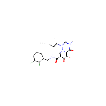 CC[C@@H](COC)N1CN(C)C(=O)c2c(O)c(=O)c(C(=O)NCC3CCCC(Cl)C3F)cn21